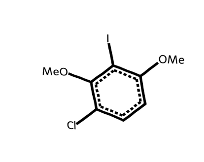 COc1ccc(Cl)c(OC)c1I